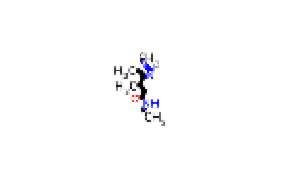 CCNC(=O)C[C@H](C)c1nnn(C)c1C